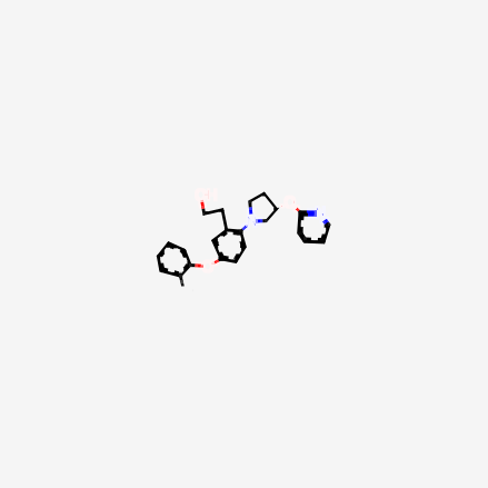 CC(C)c1ccccc1Oc1ccc(N2CC[C@H](Oc3ccccn3)C2)c(CCO)c1